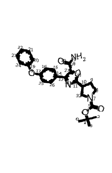 CC(C)(C)OC(=O)N1CCC(c2nc(-c3ccc(Oc4ccccc4)cc3)c(C(N)=O)o2)C1